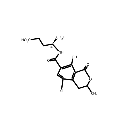 CC1Cc2c(Cl)cc(C(=O)N[C@@H](CCC(=O)O)C(=O)O)c(O)c2C(=O)O1